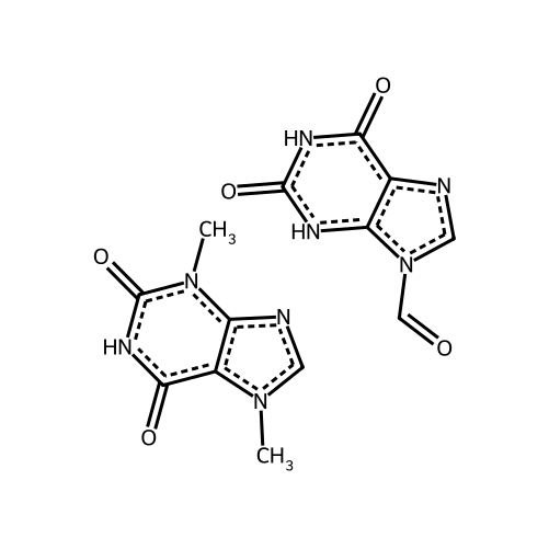 Cn1cnc2c1c(=O)[nH]c(=O)n2C.O=Cn1cnc2c(=O)[nH]c(=O)[nH]c21